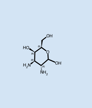 N[C@H]1[C@@H](O)[C@@H](CO)OC(O)[C@@H]1N